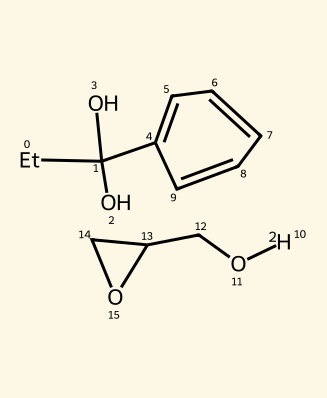 CCC(O)(O)c1ccccc1.[2H]OCC1CO1